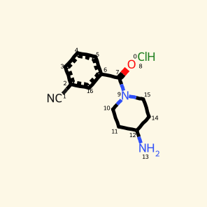 Cl.N#Cc1cccc(C(=O)N2CCC(N)CC2)c1